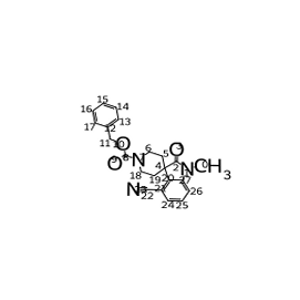 CN1C(=O)C2(CCN(C(=O)OCc3ccccc3)CC2)c2c(C#N)cccc21